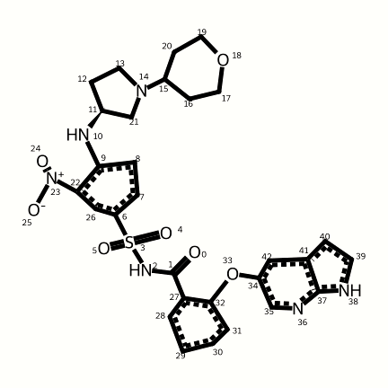 O=C(NS(=O)(=O)c1ccc(N[C@H]2CCN(C3CCOCC3)C2)c([N+](=O)[O-])c1)c1ccccc1Oc1cnc2[nH]ccc2c1